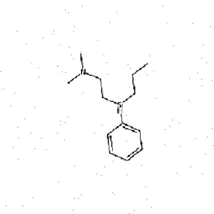 CCC[SiH](CCN(C)C)c1ccccc1